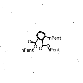 CCCCCOC(=O)c1cccc(CCCCC)c1C(=O)OCCCCC